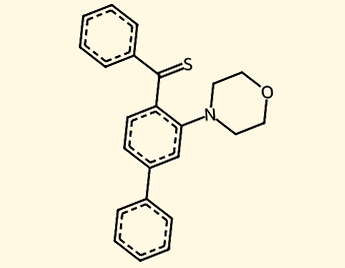 S=C(c1ccccc1)c1ccc(-c2ccccc2)cc1N1CCOCC1